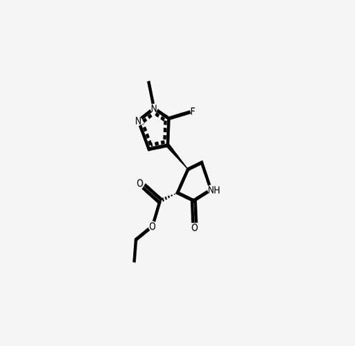 CCOC(=O)[C@H]1C(=O)NC[C@@H]1c1cnn(C)c1F